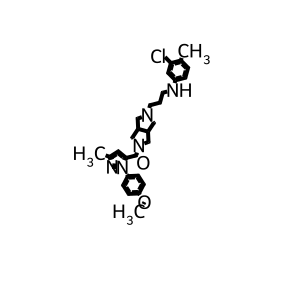 COc1ccc(-n2nc(C)cc2C(=O)N2CC3CN(CCCNc4ccc(C)c(Cl)c4)CC3C2)cc1